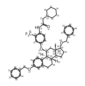 C[C@]12C[C@H](Oc3ccc(NC(=O)CN4CCCCC4)c(C(F)(F)F)c3)[C@@H]3c4ccc(OCc5ccccc5)cc4CC[C@H]3[C@@H]1CC[C@@H]2OCc1ccccc1